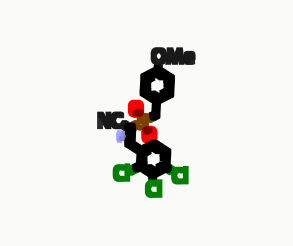 COc1ccc(CS(=O)(=O)/C(C#N)=C\c2ccc(Cl)c(Cl)c2Cl)cc1